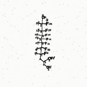 OCC(O)CC(F)(F)C(F)(F)C(F)(F)C(F)(F)C(F)(F)C(F)(F)C(F)(F)C(F)(F)F